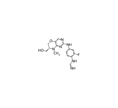 CN1c2nc(Nc3ccc(NC=N)c(F)c3)ncc2OC[C@@H]1CO